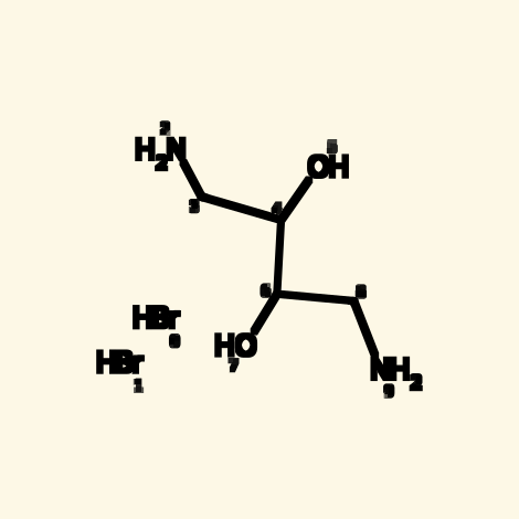 Br.Br.NCC(O)C(O)CN